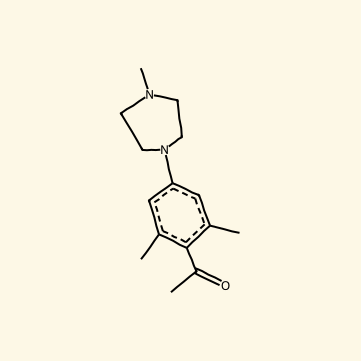 CC(=O)c1c(C)cc(N2CCN(C)CC2)cc1C